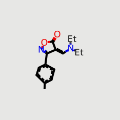 CCN(C=C1C(=O)ON=C1c1ccc(C)cc1)CC